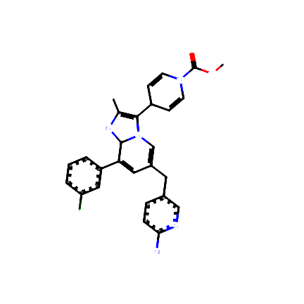 COC(=O)N1C=CC(C2=C(C)NC3C(c4cccc(Cl)c4)=CC(Cc4ccc(N)nc4)=CN23)C=C1